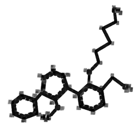 CCCCCCOc1c(CC)cccc1-c1nnnc(-c2ccccc2)c1OC